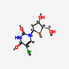 O=c1[nH]c(=O)n([C@H]2CC(O)[C@H](CO)S2)cc1Br